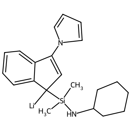 [Li][C]1([Si](C)(C)NC2CCCCC2)C=C(n2cccc2)c2ccccc21